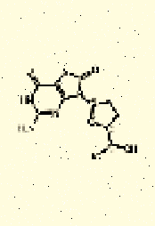 CC[C@H](O)[C@@H]1CC[C@H](n2c(=O)sc3c(=O)[nH]c(N)nc32)O1